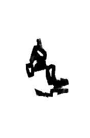 CCN(CCNC)C(=O)c1ccc(C2=CC3(CCNCC3)Oc3ccccc32)cc1